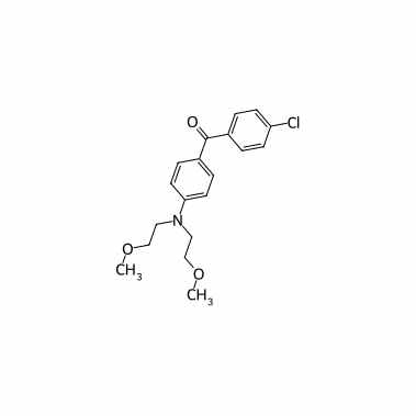 COCCN(CCOC)c1ccc(C(=O)c2ccc(Cl)cc2)cc1